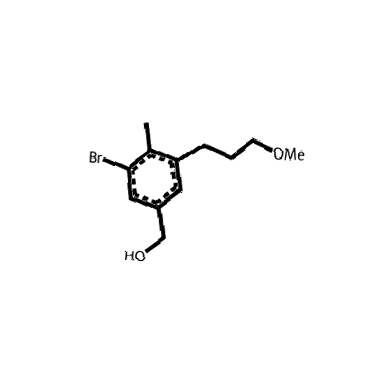 COCCCc1cc(CO)cc(Br)c1C